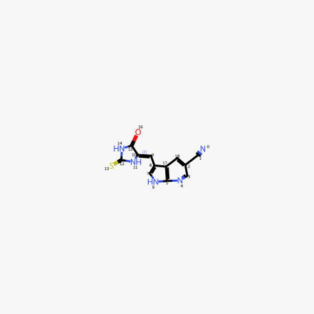 N#Cc1cnc2[nH]cc(/C=C3\NC(=S)NC3=O)c2c1